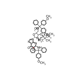 COc1ccc(C(Nc2nc3c(ncn3[C@@H]3O[C@@](CO)(COC(c4ccccc4)(c4ccc(OC)cc4)c4ccc(OC)cc4)[C@@H](O[Si](C)(C)C(C)(C)C)[C@@H]3F)c(=O)[nH]2)(c2ccccc2)c2ccccc2)cc1